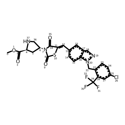 COC(=O)[C@@H]1C[C@@H](N2C(=O)S/C(=C\c3ccc4c(cnn4Cc4ccc(Cl)cc4C(F)(F)F)c3)C2=O)CN1